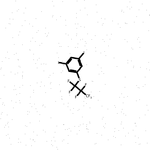 FC(F)(F)C(F)(F)C(F)(F)Sc1cc(I)[c]c(I)c1